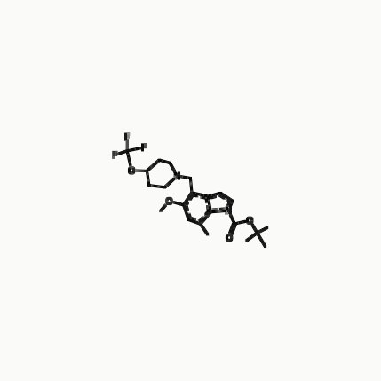 COc1cc(C)c2c(ccn2C(=O)OC(C)(C)C)c1CN1CCC(OC(F)(F)F)CC1